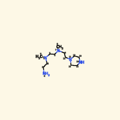 CN(CCN)CCN(C)CCN1CCNCC1